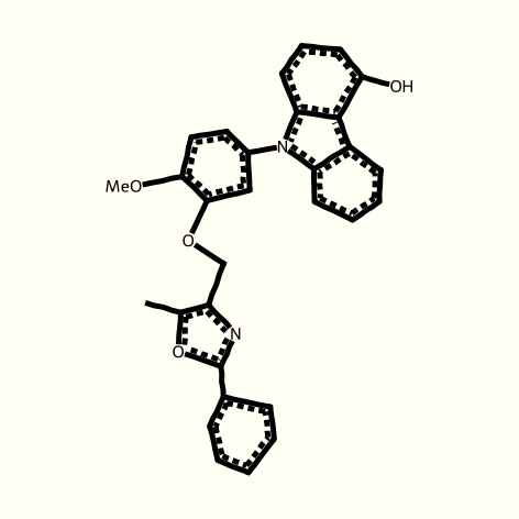 COc1ccc(-n2c3ccccc3c3c(O)cccc32)cc1OCc1nc(-c2ccccc2)oc1C